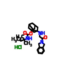 CCC(C)(C)NC(=O)OC12CC3CC(CC(NCC(=O)N4Cc5ccccc5C4)(C3)C1)C2.Cl